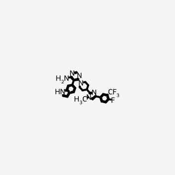 Cn1cc(-c2ccc(F)c(C(F)(F)F)c2)nc1C1CCN(c2ncnc(N)c2-c2ccc3cc[nH]c3c2)CC1